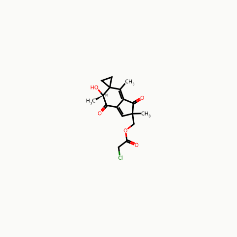 CC1=C2C(=O)C(C)(COC(=O)CCl)C=C2C(=O)[C@](C)(O)C12CC2